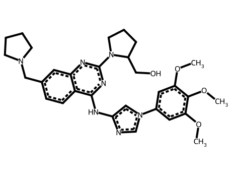 COc1cc(-n2cnc(Nc3nc(N4CCCC4CO)nc4cc(CN5CCCC5)ccc34)c2)cc(OC)c1OC